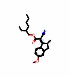 CCCCC(CC)COC(=O)/C(C#N)=C1\c2ccc(OC)cc2CC1C